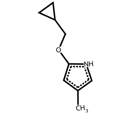 Cc1c[nH]c(OCC2CC2)c1